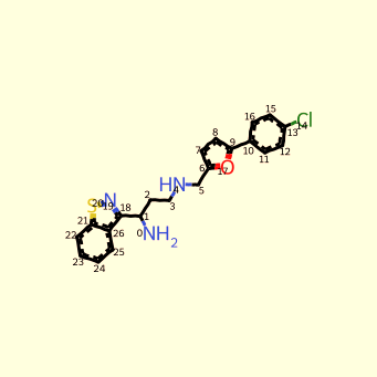 NC(CCNCc1ccc(-c2ccc(Cl)cc2)o1)c1nsc2ccccc12